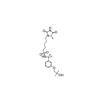 C[C@@H]1C(=O)NC(=O)N1CCCCCS(=O)(=O)NC1(c2cccc(OCC(C)(C)O)c2)CC1